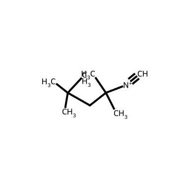 C#[N+]C(C)(C)CC(C)(C)C